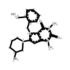 Cl.Cn1c(=O)c2c(cc(N3CCCC(N)C3)n2Cc2ccccc2Cl)n(C)c1=O